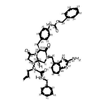 C=CCN(C(=O)NCc1ccccc1)N1CC(=O)N2[C@@H](Cc3ccc(NC(=O)OCc4ccccc4)cc3)C(=O)N(Cc3cccc4sc(N)nc34)C[C@@H]21